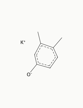 Cc1ccc([O-])cc1C.[K+]